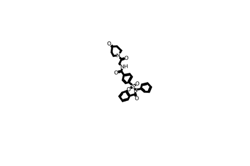 O=C1CCN(C(=O)CNC(=O)c2ccc(S(=O)(=O)N(C(=O)c3ccccc3)c3ccccc3)cc2)CC1